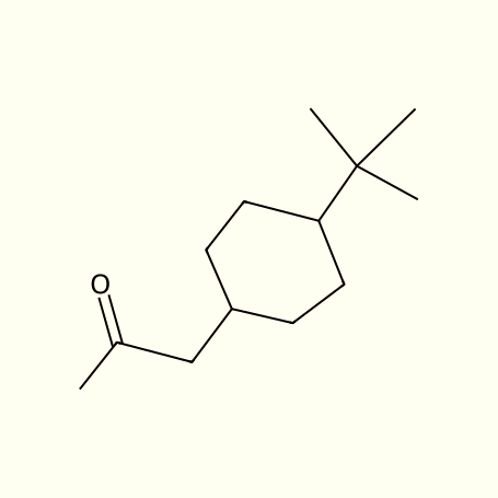 CC(=O)CC1CCC(C(C)(C)C)CC1